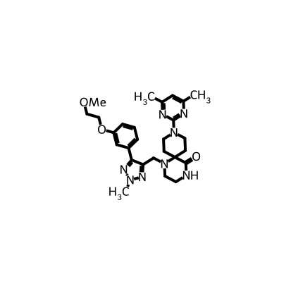 COCCOc1cccc(-c2nn(C)nc2CN2CCNC(=O)C23CCN(c2nc(C)cc(C)n2)CC3)c1